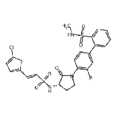 CNS(=O)(=O)c1ccccc1-c1ccc(N2CC[C@H](NS(=O)(=O)/C=C/c3ccc(Cl)s3)C2=O)c(F)c1